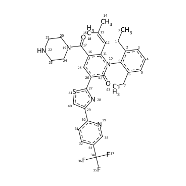 CCc1cccc(CC)c1-n1c(C=C(C)C)c(C(=O)N2CCNCC2)cc(-c2nc(-c3ccc(C(F)(F)F)cn3)cs2)c1=O